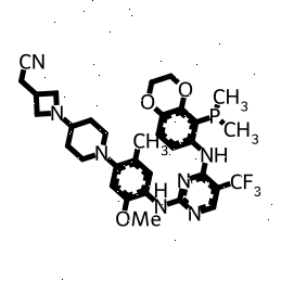 COc1cc(N2CCC(N3CC(CC#N)C3)CC2)c(C)cc1Nc1ncc(C(F)(F)F)c(Nc2ccc3c(c2P(C)C)OCCO3)n1